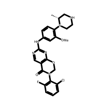 COc1cc(Nc2ncc3c(n2)OCN(c2c(F)cccc2Cl)C3=O)ccc1N1CCNC[C@H]1C